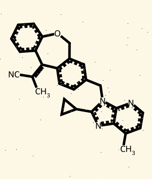 CC(C#N)=C1c2ccc(Cn3c(C4CC4)nc4c(C)ccnc43)cc2COc2ccccc21